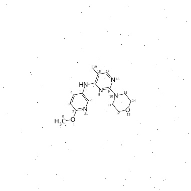 COc1ccc(Nc2nc(N3CCOCC3)ncc2I)cn1